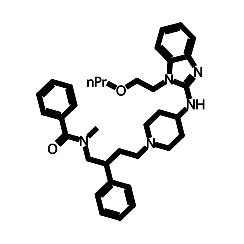 CCCOCCn1c(NC2CCN(CCC(CN(C)C(=O)c3ccccc3)c3ccccc3)CC2)nc2ccccc21